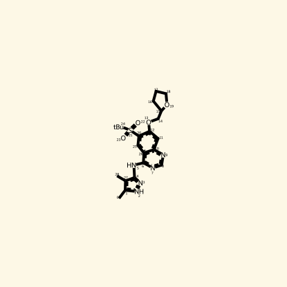 Cc1[nH]nc(Nc2ncnc3cc(OCC4CCCO4)c(S(=O)(=O)C(C)(C)C)cc23)c1C